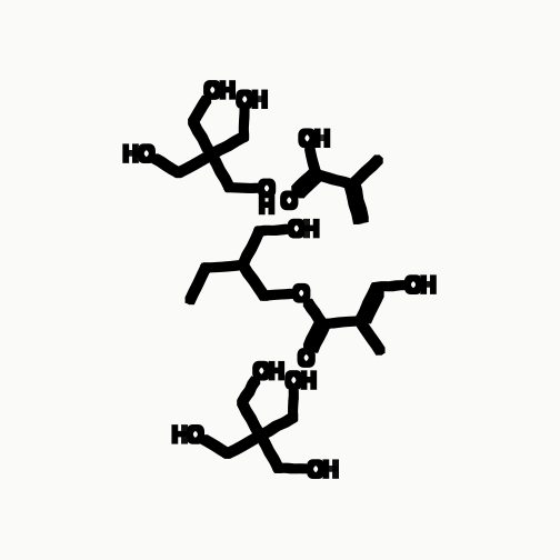 C=C(C)C(=O)O.CCC(CO)COC(=O)C(C)=CO.OCC(CO)(CO)CO.OCC(CO)(CO)CO